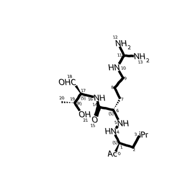 CC(=O)[C@H](CC(C)C)NN[C@@H](CCCNC(N)N)C(=O)N[C@H](C=O)[C@@H](C)O